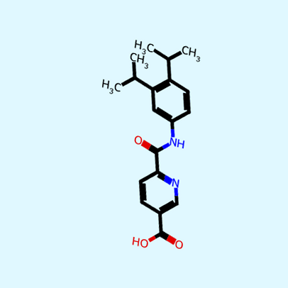 CC(C)c1ccc(NC(=O)c2ccc(C(=O)O)cn2)cc1C(C)C